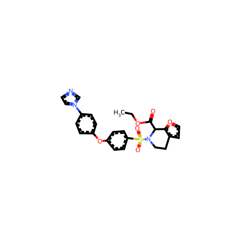 CCOC(=O)C1c2occc2CCN1S(=O)(=O)c1ccc(Oc2ccc(-n3ccnc3)cc2)cc1